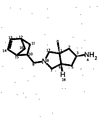 C[C@@]12C[C@@H](N)C[C@@H]1CN(CC1CC3C=CC1C3)C2